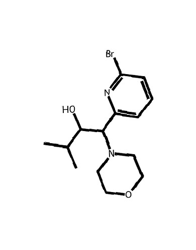 CC(C)C(O)C(c1cccc(Br)n1)N1CCOCC1